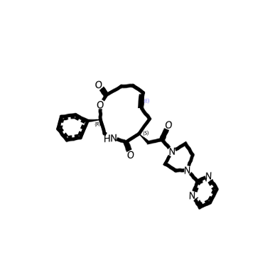 O=C1CC/C=C/C[C@@H](CC(=O)N2CCN(c3ncccn3)CC2)C(=O)NC[C@@H](c2ccccc2)O1